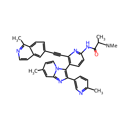 CNC(C)C(=O)Nc1ccc(-c2c(-c3ccc(C)nc3)nc3cc(C)ccn23)c(C#Cc2ccc3c(C)nccc3c2)n1